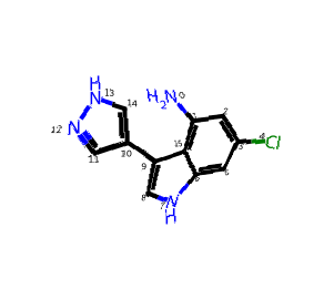 Nc1cc(Cl)cc2[nH]cc(-c3cn[nH]c3)c12